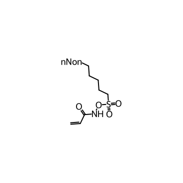 C=CC(=O)NOS(=O)(=O)CCCCCCCCCCCCCC